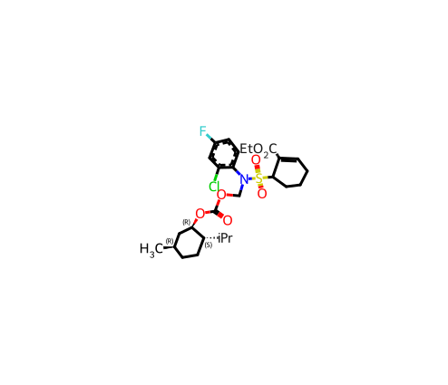 CCOC(=O)C1=CCCCC1S(=O)(=O)N(COC(=O)O[C@@H]1C[C@H](C)CC[C@H]1C(C)C)c1ccc(F)cc1Cl